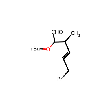 CCCCOC(C=O)C(C)/C=C/CC(C)C